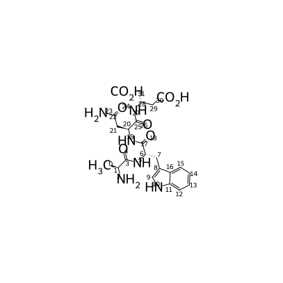 C[C@H](N)C(=O)N[C@@H](Cc1c[nH]c2ccccc12)C(=O)N[C@@H](CC(N)=O)C(=O)N[C@@H](CC(=O)O)C(=O)O